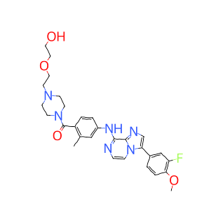 COc1ccc(-c2cnc3c(Nc4ccc(C(=O)N5CCN(CCOCCO)CC5)c(C)c4)nccn23)cc1F